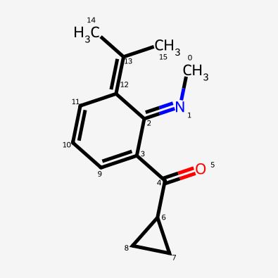 C/N=C1/C(C(=O)C2CC2)=CC=CC1=C(C)C